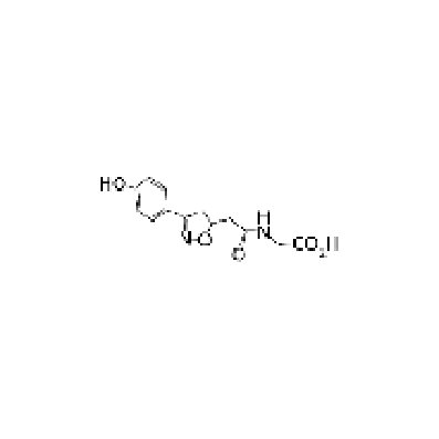 O=C(O)CNC(=O)CC1CC(c2ccc(O)cc2)=NO1